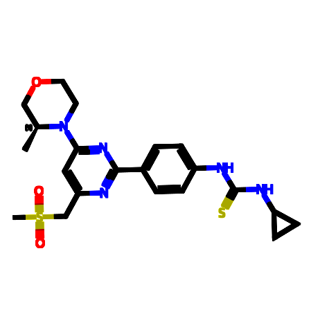 C[C@H]1COCCN1c1cc(CS(C)(=O)=O)nc(-c2ccc(NC(=S)NC3CC3)cc2)n1